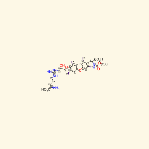 CC(C)(C)OC(=O)NC(Cc1c(I)cc(Oc2cc(I)c(OCC(O)CNC(=N)NCCCC(N)C(=O)O)c(I)c2)cc1I)C(=O)O